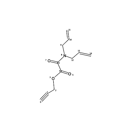 C#CCOC(=O)C(=O)N(CC=C)CC=C